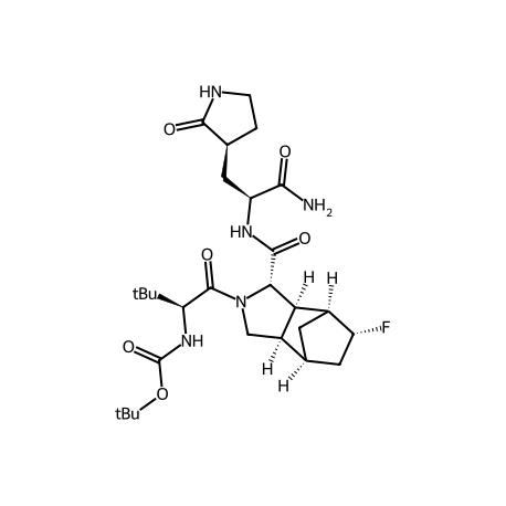 CC(C)(C)OC(=O)N[C@H](C(=O)N1C[C@@H]2[C@H]3C[C@@H]([C@@H]2[C@H]1C(=O)N[C@@H](C[C@@H]1CCNC1=O)C(N)=O)[C@H](F)C3)C(C)(C)C